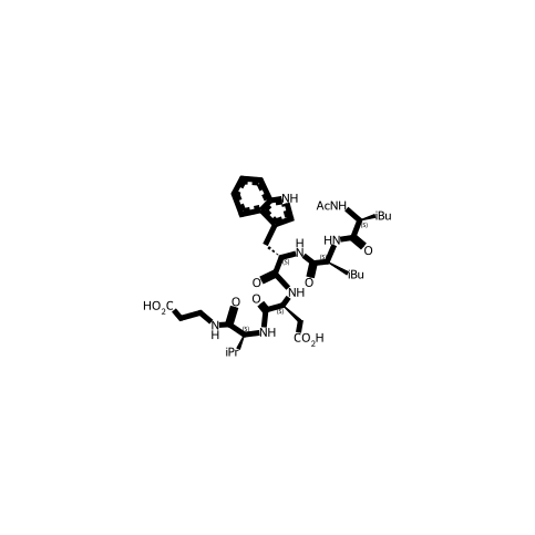 CCC(C)[C@H](NC(C)=O)C(=O)N[C@H](C(=O)N[C@@H](Cc1c[nH]c2ccccc12)C(=O)N[C@@H](CC(=O)O)C(=O)N[C@H](C(=O)NCCC(=O)O)C(C)C)C(C)CC